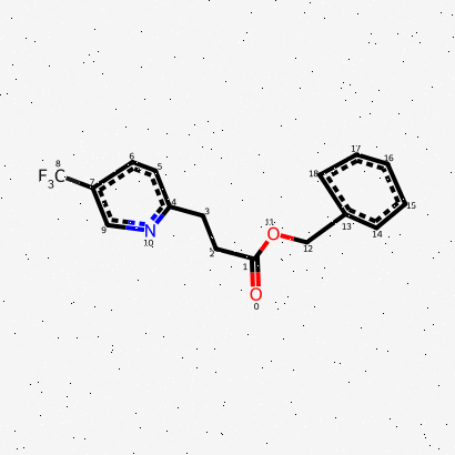 O=C([CH]Cc1ccc(C(F)(F)F)cn1)OCc1ccccc1